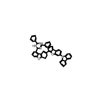 C1=C(c2cccc3c2oc2cc(-n4c5ccccc5c5ccccc54)ccc23)CCc2oc3cccc(C4N=C(c5ccccc5)NC(c5ccccc5)N4)c3c21